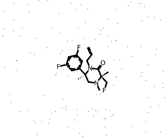 C=CCN1C(=O)[C@](C)(CF)N(C)C[C@@]1(C)c1cc(F)cc(F)c1